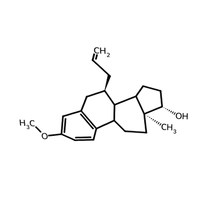 C=CC[C@@H]1Cc2cc(OC)ccc2C2CC[C@@]3(C)C(CC[C@@H]3O)C21